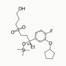 CC[C@](CCS(=O)(=O)CCCO)(O[Si](C)(C)C)c1ccc(F)c(OC2CCCC2)c1